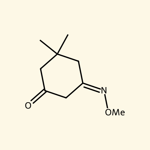 CO/N=C1\CC(=O)CC(C)(C)C1